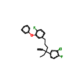 C#CC(CC)(CCCc1ccc(F)c(Oc2ccccc2)c1)c1ccc(F)c(Cl)c1